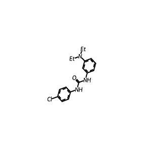 CCN(CC)c1cccc(NC(=O)Nc2ccc(Cl)cc2)c1